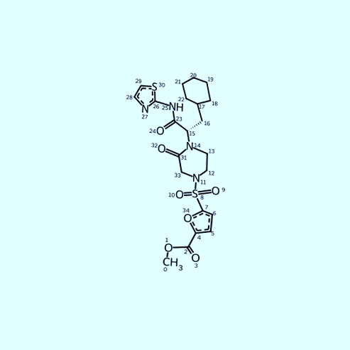 COC(=O)c1ccc(S(=O)(=O)N2CCN([C@@H](CC3CCCCC3)C(=O)Nc3nccs3)C(=O)C2)o1